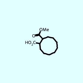 COC(=O)C1CCCCCCCCC1C(=O)O